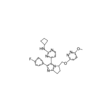 COc1ccc(OCC2CCc3nc(-c4ccc(F)cc4)c(-c4ccnc(NC5CCC5)n4)n32)nn1